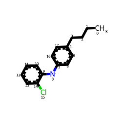 CCCCc1ccc([N]c2ccccc2Cl)cc1